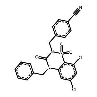 N#Cc1ccc(CN2C(=O)N(Cc3ccccc3)c3cc(Cl)cc(Cl)c3S2(=O)=O)cc1